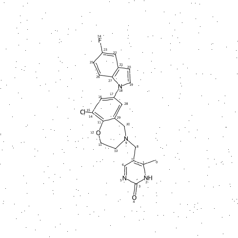 Cc1[nH]c(=O)ncc1CN1CCOc2c(Cl)cc(-n3ccc4cc(F)ccc43)cc2C1